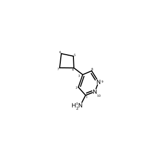 Nc1cc(C2CCC2)cnn1